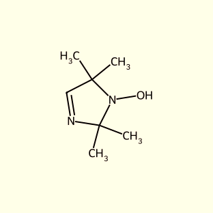 CC1(C)C=NC(C)(C)N1O